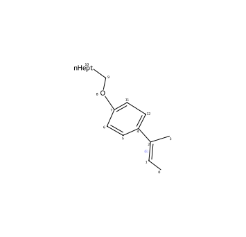 C/C=C(\C)c1ccc(OCCCCCCCC)cc1